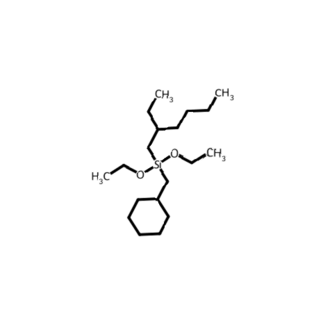 CCCCC(CC)C[Si](CC1CCCCC1)(OCC)OCC